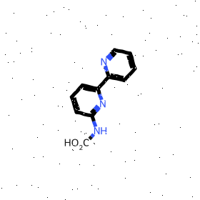 O=C(O)Nc1cccc(-c2ccccn2)n1